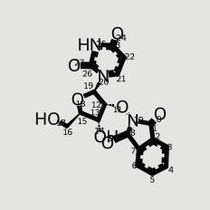 O=C1c2ccccc2C(=O)N1O[C@@H]1[C@H](O)[C@@H](CO)O[C@H]1n1ccc(=O)[nH]c1=O